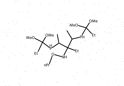 CCCONC(CC)(C(C)PC(CC)(OC)OC)C(C)PC(CC)(OC)OC